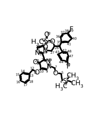 C[Si](C)(C)CCOCn1cc(OCc2ccccc2)c(=O)c(-c2nccn2CC(OS(C)(=O)=O)C(c2ccc(F)cc2)c2ccc(F)cc2)n1